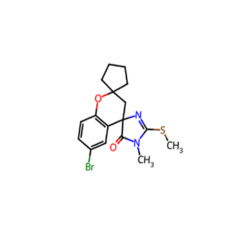 CSC1=NC2(CC3(CCCC3)Oc3ccc(Br)cc32)C(=O)N1C